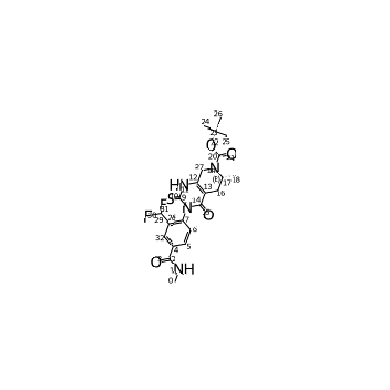 CNC(=O)c1ccc(-n2c(=S)[nH]c3c(c2=O)C[C@@H](C)N(C(=O)OC(C)(C)C)C3)c(C(F)F)c1